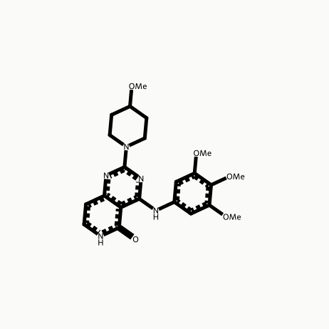 COc1cc(Nc2nc(N3CCC(OC)CC3)nc3cc[nH]c(=O)c23)cc(OC)c1OC